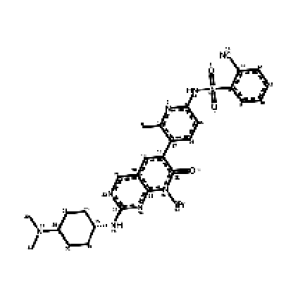 Cc1nc(NS(=O)(=O)c2ccccc2C#N)ccc1-c1cc2cnc(N[C@H]3CC[C@H](N(C)C)CC3)nc2n(C(C)C)c1=O